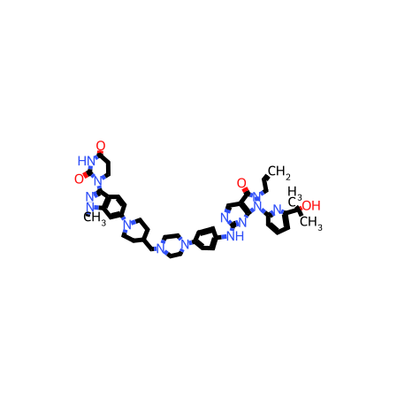 C=CCn1c(=O)c2cnc(Nc3ccc(N4CCN(CC5CCN(c6ccc7c(N8CCC(=O)NC8=O)nn(C)c7c6)CC5)CC4)cc3)nc2n1-c1cccc(C(C)(C)O)n1